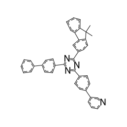 CC1(C)c2ccccc2-c2cc(-c3nc(-c4ccc(-c5ccccc5)cc4)nc(-c4ccc(-c5cccnc5)cc4)n3)ccc21